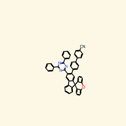 N#Cc1ccc(-c2ccc(-c3cc4c(cc3-c3nc(-c5ccccc5)nc(-c5ccccc5)n3)-c3ccccc3C43c4ccccc4Oc4ccccc43)cc2)cc1